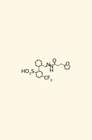 O=C(CCc1ccco1)NN=Cc1ccccc1-c1cc(C(F)(F)F)ccc1S(=O)(=O)O